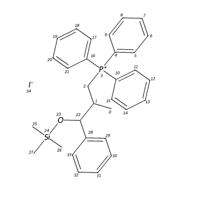 CC(C[P+](c1ccccc1)(c1ccccc1)c1ccccc1)C(O[Si](C)(C)C)c1ccccc1.[I-]